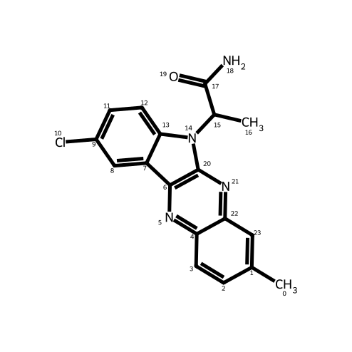 Cc1ccc2nc3c4cc(Cl)ccc4n(C(C)C(N)=O)c3nc2c1